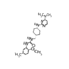 COc1ccc(C)cc1NC(=O)NC[C@H]1CC[C@@H](Nc2nccc(N(C)C)n2)CC1